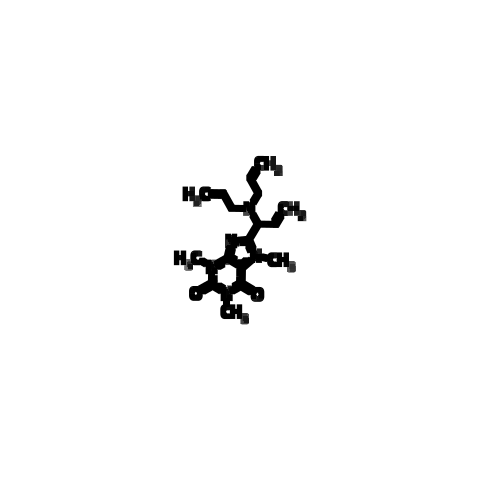 C=CCN(CC=C)C(C=C)c1nc2c(c(=O)n(C)c(=O)n2C)n1C